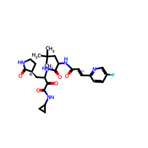 CC(C)(C)CC(NC(=O)/C=C/c1ccc(F)cn1)C(=O)NC(C[C@@H]1CCNC1=O)C(=O)C(=O)NC1CC1